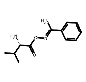 CC(C)[C@H](N)C(=O)ON=C(N)c1ccccc1